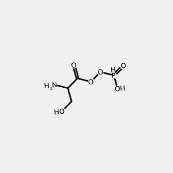 NC(CO)C(=O)OO[PH](=O)O